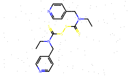 CCN(Cc1ccncc1)C(=S)SSC(=S)N(CC)Cc1ccncc1